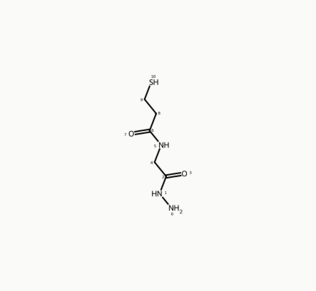 NNC(=O)CNC(=O)CCS